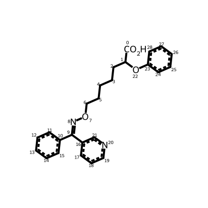 O=C(O)C(CCCCCON=C(c1ccccc1)c1cccnc1)Oc1ccccc1